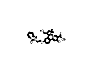 COCC1CC(C)(C)N2C1c1cc(OCCn3nc4ccccn4c3=O)ccc1-c1cc(=O)c(C(=O)O)cn12